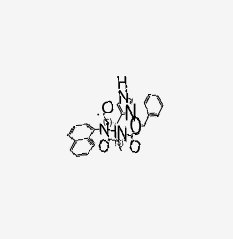 C[C@H](NC(=O)OCc1ccccc1)C(=O)N(c1cccc2ccccc12)[C@H]([C]=O)Cc1c[nH]cn1